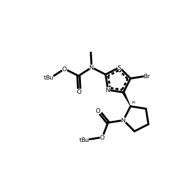 CN(C(=O)OC(C)(C)C)c1nc([C@H]2CCCN2C(=O)OC(C)(C)C)c(Br)s1